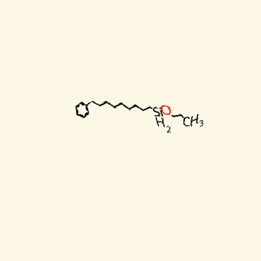 CCCO[SiH2]CCCCCCCCCc1ccccc1